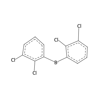 Clc1cccc([B]c2cccc(Cl)c2Cl)c1Cl